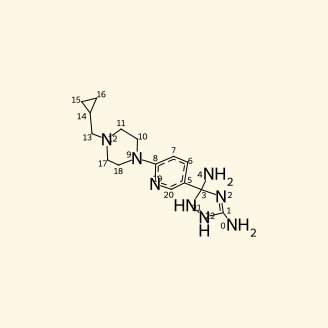 NC1=NC(N)(c2ccc(N3CCN(CC4CC4)CC3)nc2)NN1